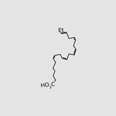 CCC=CC/C=C\C/C=C\C/C=C\C/C=C\CCCCCC(=O)O